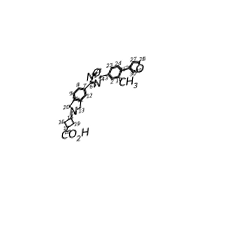 Cc1cc(-c2nc(-c3ccc4c(c3)CN(C3CC(C(=O)O)C3)C4)no2)ccc1-c1ccoc1